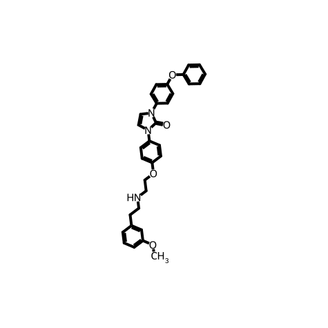 COc1cccc(CCNCCOc2ccc(-n3ccn(-c4ccc(Oc5ccccc5)cc4)c3=O)cc2)c1